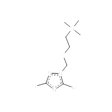 CC(C)c1nc(Br)n(COCC[Si](C)(C)C)n1